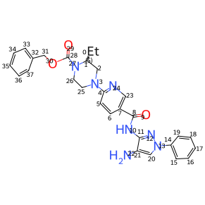 CC[C@H]1CN(c2ccc(C(=O)Nc3nn(-c4ccccc4)cc3N)cn2)CCN1C(=O)OCc1ccccc1